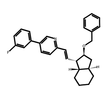 Fc1cccc(-c2ccc(C=C[C@H]3[C@H]4CCCC[C@@H]4C[C@@H]3OCc3ccccc3)nc2)c1